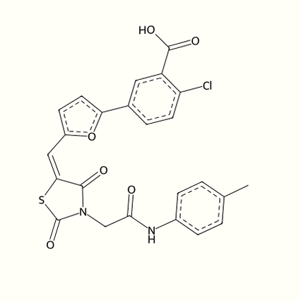 Cc1ccc(NC(=O)CN2C(=O)S/C(=C/c3ccc(-c4ccc(Cl)c(C(=O)O)c4)o3)C2=O)cc1